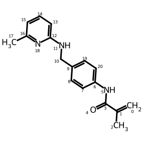 C=C(C)C(=O)Nc1ccc(CNc2cccc(C)n2)cc1